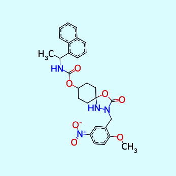 COc1ccc([N+](=O)[O-])cc1CN1NC2(CCC(OC(=O)NC(C)c3cccc4ccccc34)CC2)OC1=O